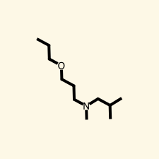 CCCOCCCN(C)CC(C)C